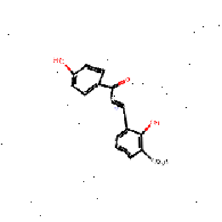 O=C(/C=C/c1cccc(C(=O)O)c1O)c1ccc(O)cc1